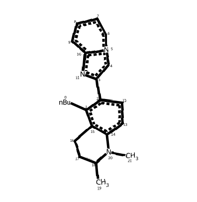 CCCCc1c(-c2cn3ccccc3n2)ccc2c1CCC(C)N2C